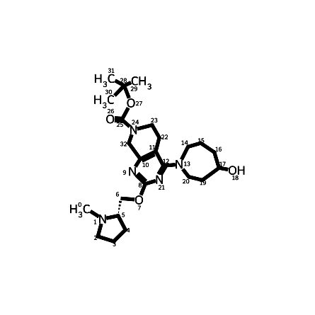 CN1CCC[C@H]1COc1nc2c(c(N3CCCC(O)CC3)n1)CCN(C(=O)OC(C)(C)C)C2